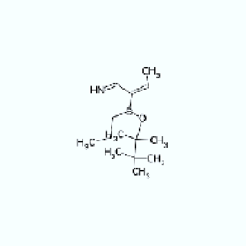 C/C=C(\C=N)B(CCC)OC(C)(C)C(C)(C)C